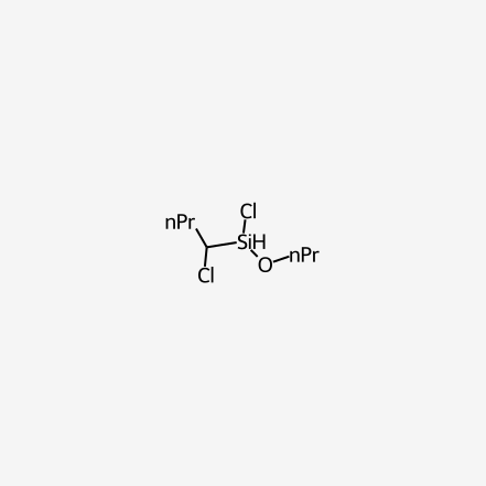 CCCO[SiH](Cl)C(Cl)CCC